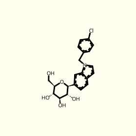 OC[C@H]1O[C@@H](c2ccc3ccn(Cc4ccc(Cl)cc4)c3c2)[C@H](O)[C@@H](O)[C@@H]1O